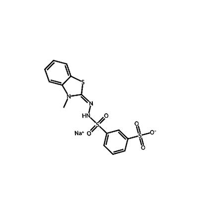 Cn1c(=NNS(=O)(=O)c2cccc(S(=O)(=O)[O-])c2)sc2ccccc21.[Na+]